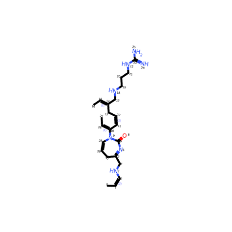 C/C=C\NCC1=NC(=O)N(C(/C=C\C/C(=C\C)CNCCCNC(=N)N)=C/C)C=CC1